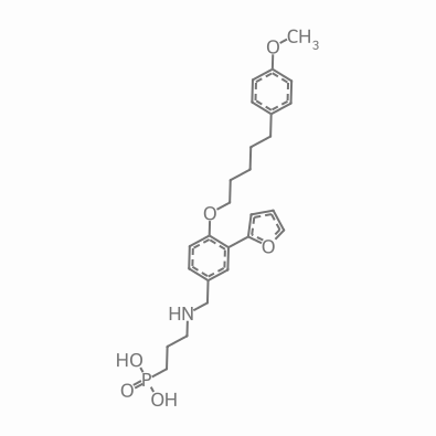 COc1ccc(CCCCCOc2ccc(CNCCCP(=O)(O)O)cc2-c2ccco2)cc1